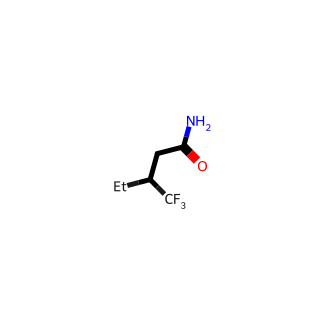 CCC(CC(N)=O)C(F)(F)F